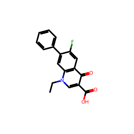 CCn1cc(C(=O)O)c(=O)c2cc(F)c(-c3ccccc3)cc21